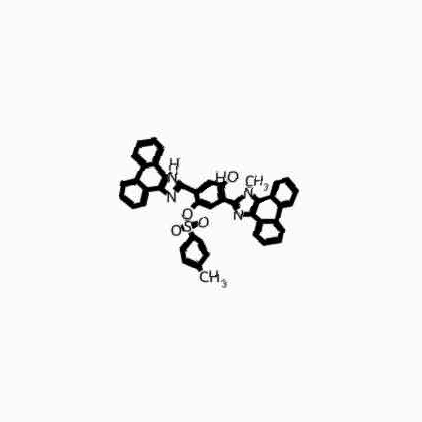 Cc1ccc(S(=O)(=O)Oc2cc(-c3nc4c5ccccc5c5ccccc5c4n3C)c(O)cc2-c2nc3c4ccccc4c4ccccc4c3[nH]2)cc1